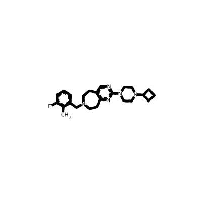 Cc1c(F)cccc1CN1CCc2cnc(N3CCN(C4CCC4)CC3)nc2CC1